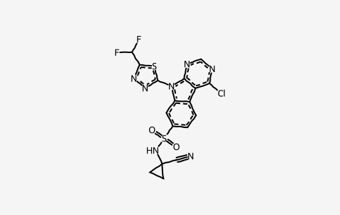 N#CC1(NS(=O)(=O)c2ccc3c4c(Cl)ncnc4n(-c4nnc(C(F)F)s4)c3c2)CC1